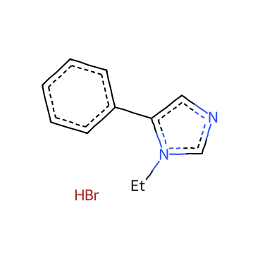 Br.CCn1cncc1-c1ccccc1